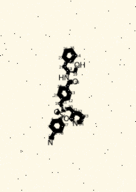 N#Cc1ccc(S(=O)(=O)N(Cc2ccc(C(=O)N[C@H](CO)Cc3ccccc3)cc2)Cc2cccnc2)cc1